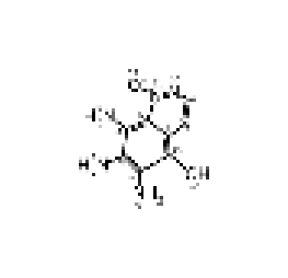 Nc1c(N)c(N)c2c(ccn[n+]2[O-])c1O